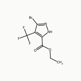 CCOC(=O)c1[nH]nc(Br)c1C(F)(F)F